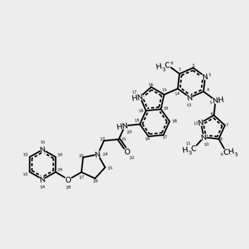 Cc1cnc(Nc2cc(C)n(C)n2)nc1-c1c[nH]c2c(NC(=O)CN3CCC(Oc4cnccn4)C3)cccc12